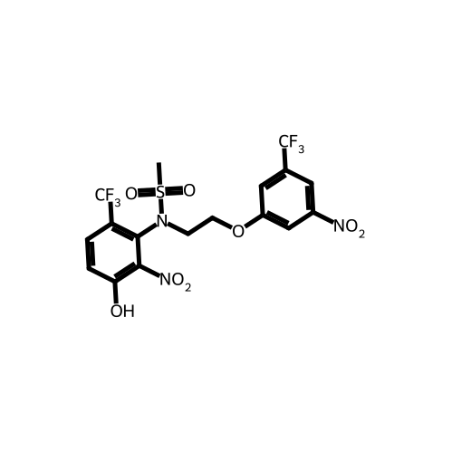 CS(=O)(=O)N(CCOc1cc([N+](=O)[O-])cc(C(F)(F)F)c1)c1c(C(F)(F)F)ccc(O)c1[N+](=O)[O-]